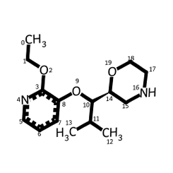 CCOc1ncccc1OC(C(C)C)[C@@H]1CNCCO1